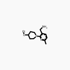 CCOC1CCN(c2nc(C)ccc2CN)CC1